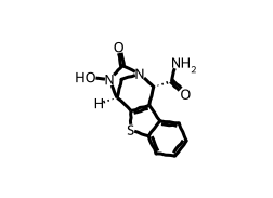 NC(=O)[C@@H]1c2c(sc3ccccc23)[C@@H]2CN1C(=O)N2O